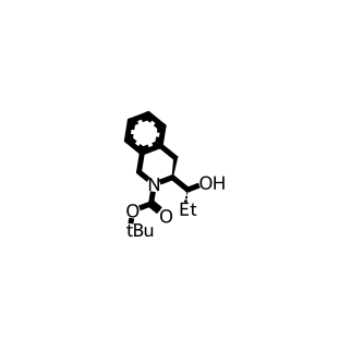 CC[C@@H](O)[C@@H]1Cc2ccccc2CN1C(=O)OC(C)(C)C